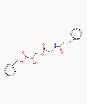 O=C(CNC(=O)OCc1ccccc1)OCC(O)C(=O)OCc1ccccc1